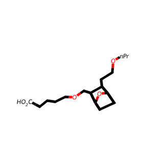 CCCOCCC1C2CCC(O2)C1COCCCCC(=O)O